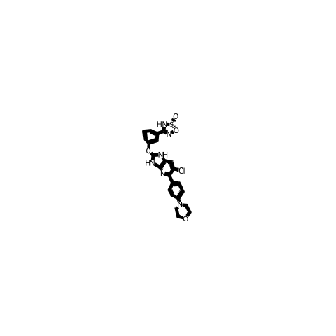 O=S1NC(c2cccc(OC3Nc4cc(Cl)c(-c5ccc(N6CCOCC6)cc5)nc4N3)c2)=NO1